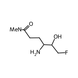 CNC(=O)CCC(N)C(O)CF